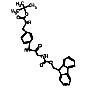 CC(C)(C)OC(=O)NCc1ccc(NC(=O)CNC(=O)OCC2c3ccccc3-c3ccccc32)cc1